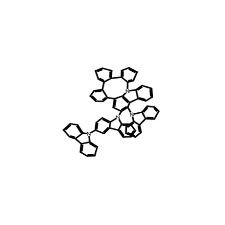 c1ccc2c(c1)c1ccccc1c1cc(-n3c4ccccc4c4cc(-n5c6ccccc6c6ccccc65)ccc43)c(-n3c4ccccc4c4ccccc43)c3c4ccccc4n(c4ccccc24)c13